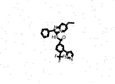 C[CH]c1ccn2c(NC(=O)c3ccc(C(F)(F)F)c(-c4ccn(C)n4)c3)c(-c3ccccc3)nc2c1